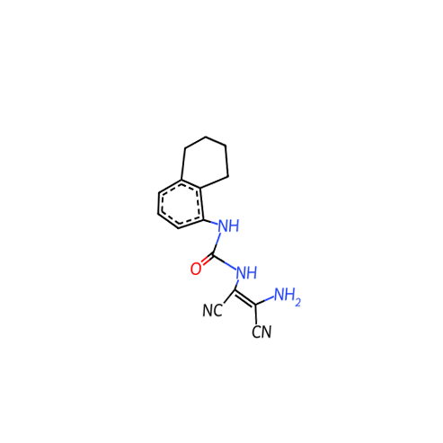 N#C/C(N)=C(\C#N)NC(=O)Nc1cccc2c1CCCC2